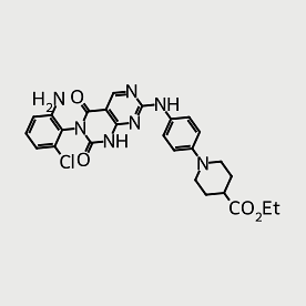 CCOC(=O)C1CCN(c2ccc(Nc3ncc4c(=O)n(-c5c(N)cccc5Cl)c(=O)[nH]c4n3)cc2)CC1